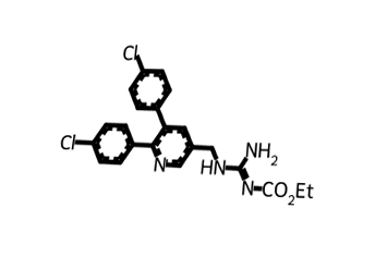 CCOC(=O)/N=C(\N)NCc1cnc(-c2ccc(Cl)cc2)c(-c2ccc(Cl)cc2)c1